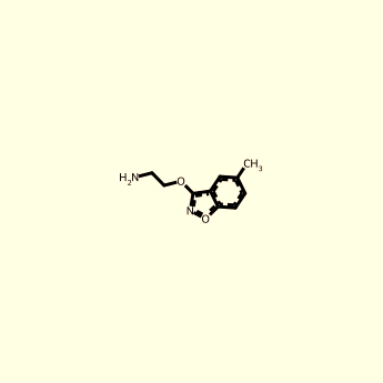 Cc1ccc2onc(OCCN)c2c1